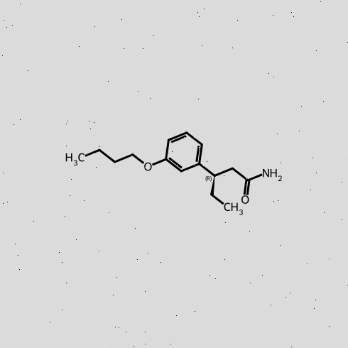 CCCCOc1cccc([C@H](CC)CC(N)=O)c1